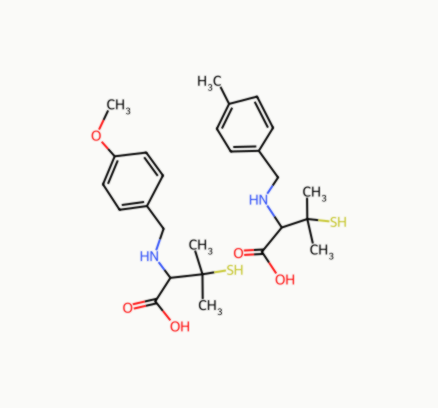 COc1ccc(CNC(C(=O)O)C(C)(C)S)cc1.Cc1ccc(CNC(C(=O)O)C(C)(C)S)cc1